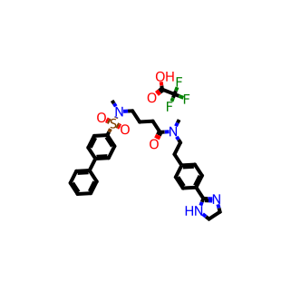 CN(CCc1ccc(C2=NCCN2)cc1)C(=O)CCCN(C)S(=O)(=O)c1ccc(-c2ccccc2)cc1.O=C(O)C(F)(F)F